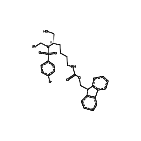 CC(C)CN([C@H](CO)CCCCNC(=O)OCC1c2ccccc2-c2ccccc21)S(=O)(=O)c1ccc(Br)cc1